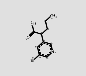 CCCC(C(=O)O)c1cncc(Br)c1